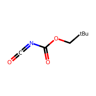 CC(C)(C)COC(=O)N=C=O